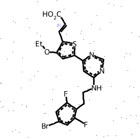 CCOc1cc(-c2cc(NCCc3c(F)cc(Br)cc3F)ncn2)sc1/C=C/C(=O)O